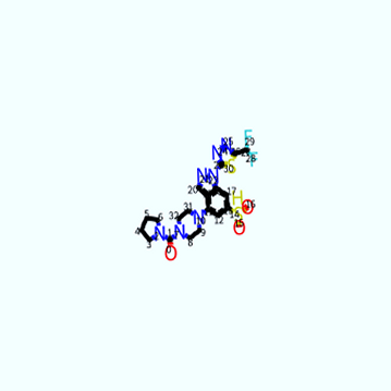 O=C(N1CCCC1)N1CCN(c2cc([SH](=O)=O)cc3c2cnn3-c2nnc(C(F)F)s2)CC1